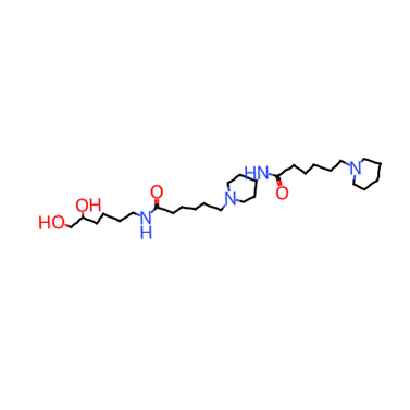 O=C(CCCCCN1CCC(NC(=O)CCCCCN2CCCCC2)CC1)NCCCCC(O)CO